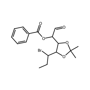 CCC(Br)C1OC(C)(C)OC1C(C=O)OC(=O)c1ccccc1